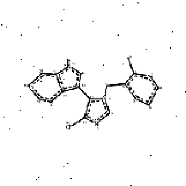 Cc1ccccc1Cn1cnc(Cl)c1-c1c[nH]c2ccccc12